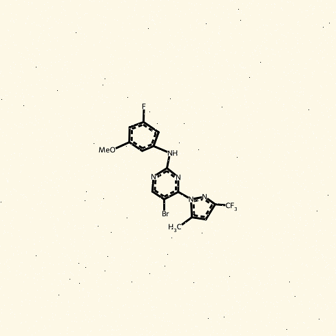 COc1cc(F)cc(Nc2ncc(Br)c(-n3nc(C(F)(F)F)cc3C)n2)c1